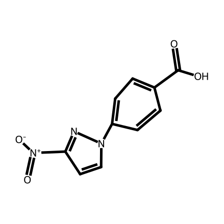 O=C(O)c1ccc(-n2ccc([N+](=O)[O-])n2)cc1